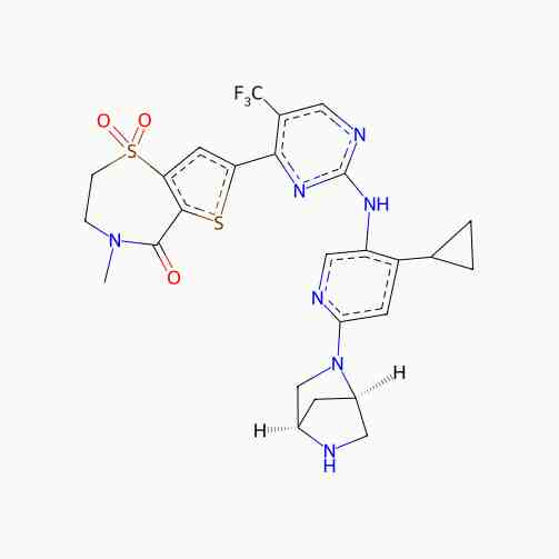 CN1CCS(=O)(=O)c2cc(-c3nc(Nc4cnc(N5C[C@H]6C[C@@H]5CN6)cc4C4CC4)ncc3C(F)(F)F)sc2C1=O